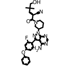 CC(C)(C=C(C#N)C(=O)N1CCCC(n2nc(-c3ccc(Oc4ccccc4)cc3F)c3c(N)ncnc32)C1)CO